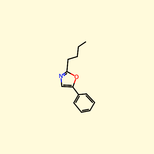 CCCCc1ncc(-c2ccccc2)o1